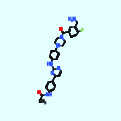 CC(=O)Nc1ccc(-c2ccnc(Nc3ccc(N4CCN(C(=O)c5ccc(F)c(CN)c5)CC4)cc3)n2)cc1